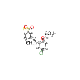 Cc1ccc([SH](=O)=O)cc1C#CC1CC(Cl)CCC1OCC(=O)O